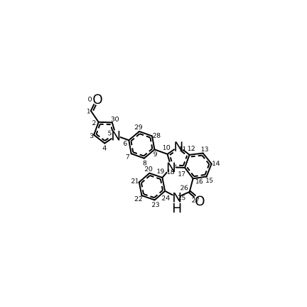 O=Cc1ccn(-c2ccc(-c3nc4cccc5c4n3-c3ccccc3NC5=O)cc2)c1